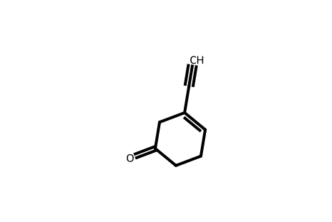 C#CC1=CCCC(=O)C1